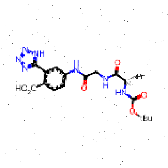 CC(C)[C@H](NC(=O)OC(C)(C)C)C(=O)NCC(=O)Nc1ccc(C(=O)O)c(-c2nnn[nH]2)c1